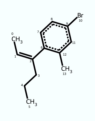 C/C=C(/CCC)c1ccc(Br)cc1C